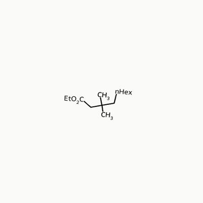 CCCCCCCC(C)(C)CC(=O)OCC